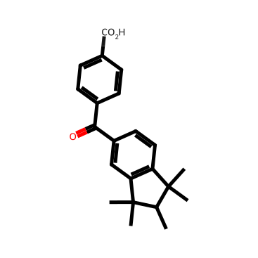 CC1C(C)(C)c2ccc(C(=O)c3ccc(C(=O)O)cc3)cc2C1(C)C